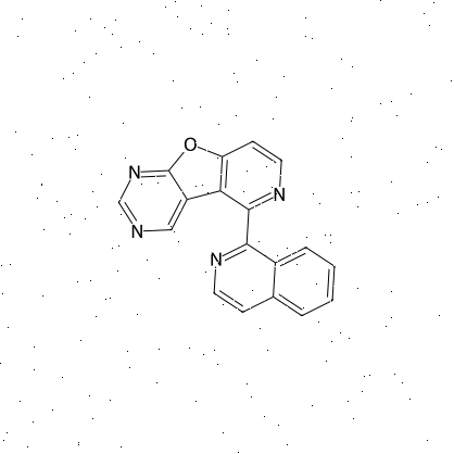 c1ccc2c(-c3nccc4oc5ncncc5c34)nccc2c1